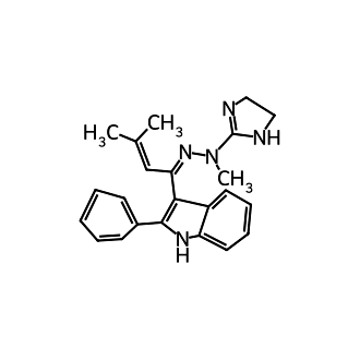 CC(C)=CC(=NN(C)C1=NCCN1)c1c(-c2ccccc2)[nH]c2ccccc12